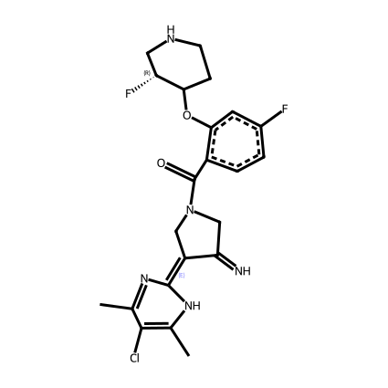 CC1=N/C(=C2\CN(C(=O)c3ccc(F)cc3OC3CCNC[C@H]3F)CC2=N)NC(C)=C1Cl